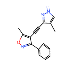 Cc1c[nH]nc1C#Cc1c(-c2ccccc2)noc1C